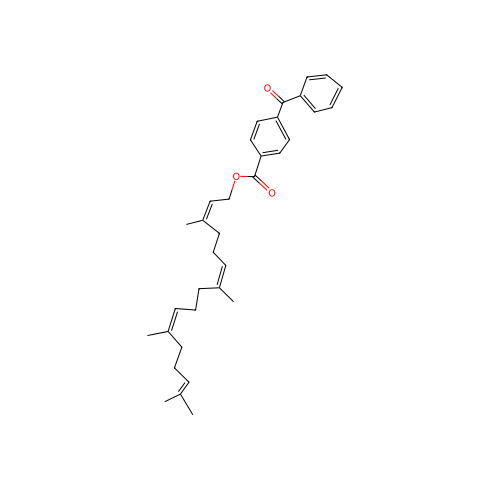 CC(C)=CCCC(C)=CCCC(C)=CCCC(C)=CCOC(=O)c1ccc(C(=O)c2ccccc2)cc1